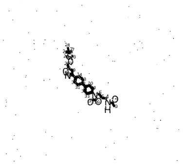 CC(=O)NCC1CN(c2ccc(-c3ccc(C4=NOC(CO[Si](C)(C)C(C)(C)C)C4)cc3)cc2)C(=O)O1